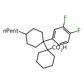 CCCCCC1CCC(c2ccc(F)c(F)c2)(C2(C(=O)O)CCCCC2)CC1